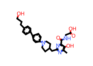 Cc1nc(CC2CCN(c3ccc(-c4ccc(CCCO)cc4)cc3)CC2)nc(C(=O)NCC(=O)O)c1O